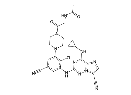 CC(=O)NCC(=O)N1CCN(c2cc(C#N)cc(Nc3nc(NC4CC4)c4ncc(C#N)n4n3)c2Cl)CC1